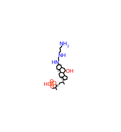 CC(CC[C@@H](OS(=O)(=O)O)C(C)C)[C@H]1CCC2C3C(O)CC4C[C@@H](NCCNCCCCN)CC[C@]4(C)C3CC[C@@]21C